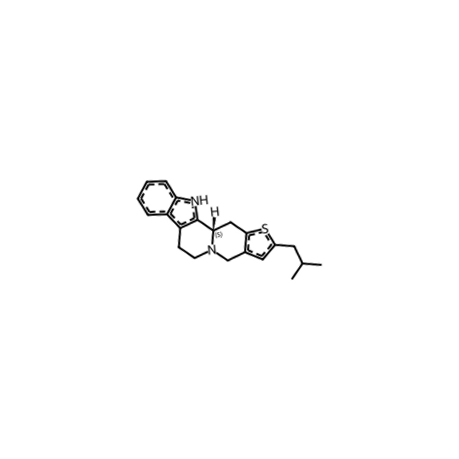 CC(C)Cc1cc2c(s1)C[C@H]1c3[nH]c4ccccc4c3CCN1C2